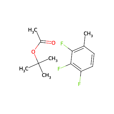 CC(=O)OC(C)(C)C.Cc1ccc(F)c(F)c1F